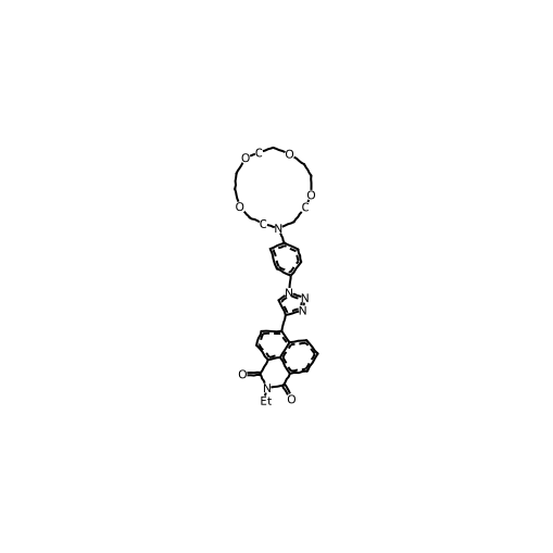 CCN1C(=O)c2cccc3c(-c4cn(-c5ccc(N6CCOCCOCCOCCOCC6)cc5)nn4)ccc(c23)C1=O